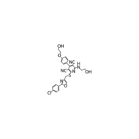 [C-]#[N+]c1c(NCCO)nc(SCc2coc(-c3ccc(Cl)cc3)n2)c(C#N)c1-c1ccc(OCCO)cc1